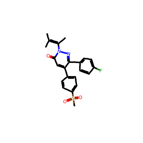 CC(C)=C(C)n1nc(-c2ccc(F)cc2)c(-c2ccc(S(C)(=O)=O)cc2)cc1=O